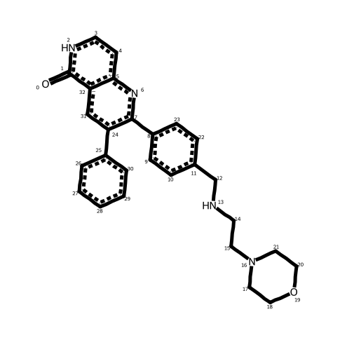 O=c1[nH]ccc2nc(-c3ccc(CNCCN4CCOCC4)cc3)c(-c3ccccc3)cc12